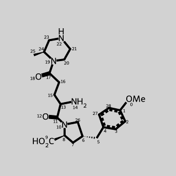 COc1ccc(C[C@@H]2C[C@@H](C(=O)O)N(C(=O)C(N)CCC(=O)N3CCNC[C@@H]3C)C2)cc1